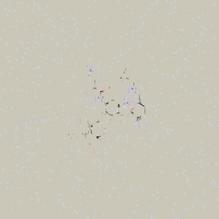 CN[C@@H]1[C@@H](O)[C@@H](O[C@@H]2[C@@H](O)[C@H](O[C@H]3OC(CNCC4CC4)=CC[C@H]3N)[C@@H](N)C[C@H]2NC(=O)[C@H](O)CCN)OC[C@]1(C)O